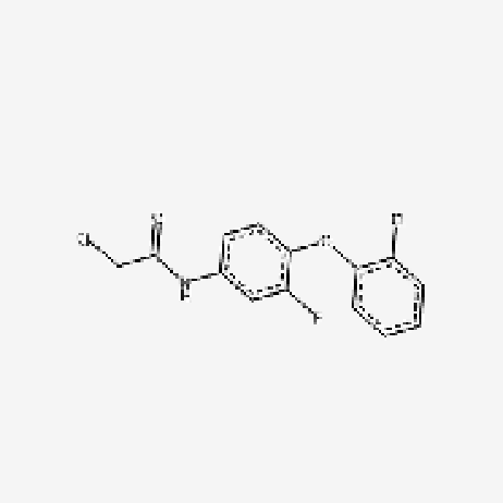 O=C(CCl)Nc1ccc(Oc2ccccc2Cl)c(F)c1